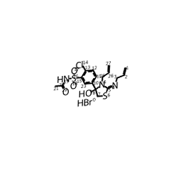 Br.C=CCN=C1SCC(O)(c2ccc(Cl)c(S(=O)(=O)NC(C)=O)c2)N1CC=C